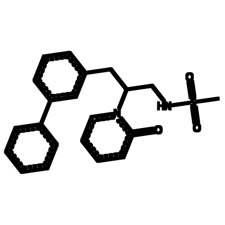 CS(=O)(=O)NCC(Cc1cccc(-c2ccccc2)c1)n1ccccc1=O